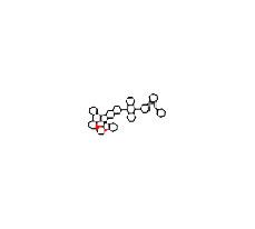 c1ccc(-n2c3ccccc3c3cc(-c4c5ccccc5c(-c5ccc6cc7c(cc6c5)C(c5ccccc5)(c5ccccc5)c5c-7c6ccccc6c6ccccc56)c5ccccc45)ccc32)cc1